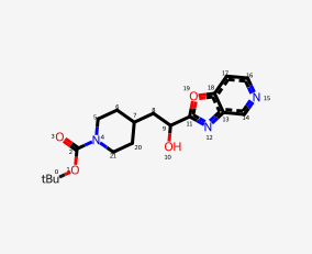 CC(C)(C)OC(=O)N1CCC(CC(O)c2nc3cnccc3o2)CC1